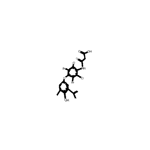 Cc1cc(Oc2c(Br)c(Cl)c(NC(=O)CC(=O)O)c(Cl)c2Br)cc(C(C)C)c1O